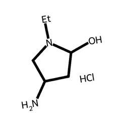 CCN1CC(N)CC1O.Cl